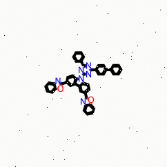 c1ccc(-c2ccc(-c3nc(-c4ccccc4)nc(-n4c5ccc(-c6nc7ccccc7o6)cc5c5cc(-c6nc7ccccc7o6)ccc54)n3)cc2)cc1